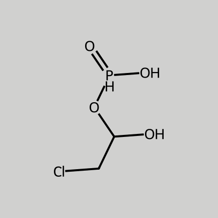 O=[PH](O)OC(O)CCl